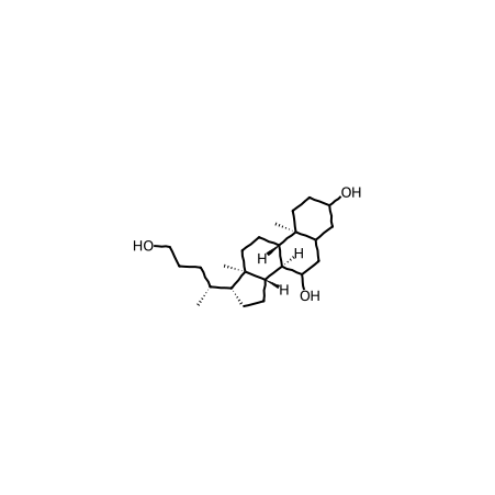 C[C@H](CCCO)[C@H]1CC[C@H]2[C@@H]3C(O)CC4CC(O)CC[C@]4(C)[C@H]3CC[C@]12C